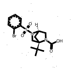 CC(C)(C)[C@@]12C[C@H](CN1C(=O)O)N(S(=O)(=O)c1ccccc1Br)C2